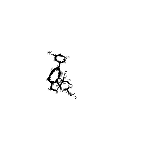 N#Cc1cncc(-c2ccc3c(c2)[C@@]2(CC3)N=C(N)OCC2(F)F)c1